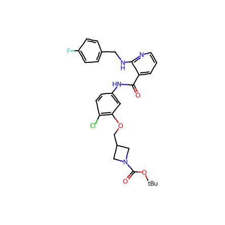 CC(C)(C)OC(=O)N1CC(COc2cc(NC(=O)c3cccnc3NCc3ccc(F)cc3)ccc2Cl)C1